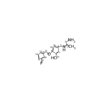 C[C@@H](CN)NCc1ccc(OCc2cccc(F)c2)cc1.Cl